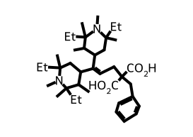 CCC1(C)CC(C(=CCC(Cc2ccccc2)(C(=O)O)C(=O)O)C2CC(C)(CC)N(C)C(C)(CC)C2C)C(C)C(C)(CC)N1C